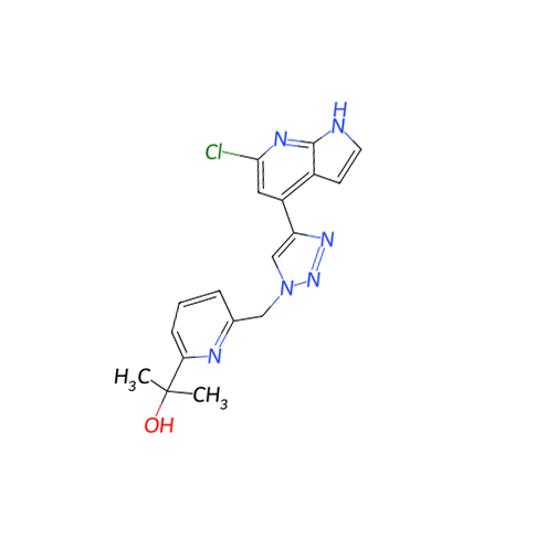 CC(C)(O)c1cccc(Cn2cc(-c3cc(Cl)nc4[nH]ccc34)nn2)n1